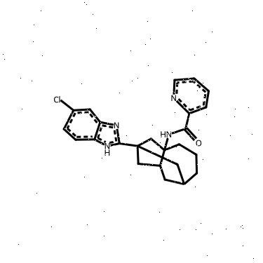 O=C(NC12CCCC3CC1CC(c1nc4cc(Cl)ccc4[nH]1)(C3)C2)c1ccccn1